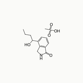 CCCC(O)c1cccc2c1CNC2=O.CS(=O)(=O)O